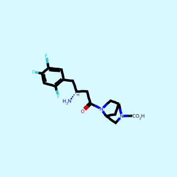 N[C@@H](CC(=O)N1CC2CC1CN2C(=O)O)Cc1cc(F)c(F)cc1F